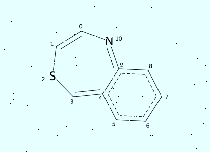 C1=CSC=c2ccccc2=N1